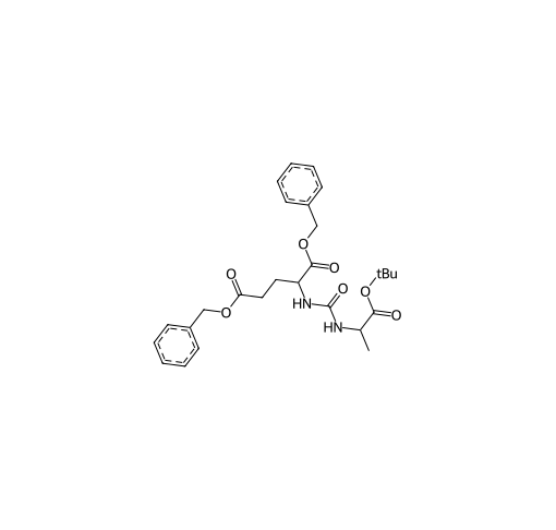 CC(NC(=O)NC(CCC(=O)OCc1ccccc1)C(=O)OCc1ccccc1)C(=O)OC(C)(C)C